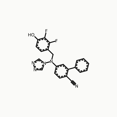 N#Cc1ccc(N(Cc2ccc(O)c(F)c2F)n2cnnc2)cc1-c1ccccc1